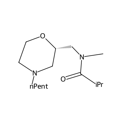 CCCCCN1CCO[C@H](CN(C)C(=O)C(C)C)C1